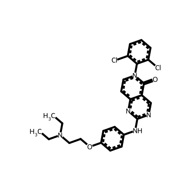 CCN(CC)CCOc1ccc(Nc2ncc3c(=O)n(-c4c(Cl)cccc4Cl)ccc3n2)cc1